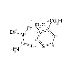 CCN(CC)C(N)=O.O=C(O)c1ccccc1C(=O)O